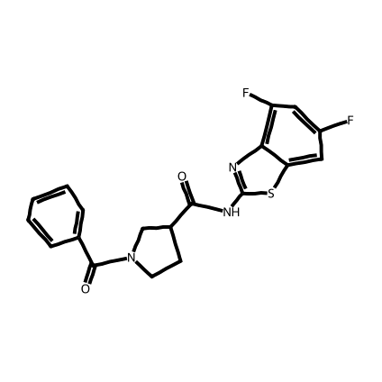 O=C(Nc1nc2c(F)cc(F)cc2s1)C1CCN(C(=O)c2ccccc2)C1